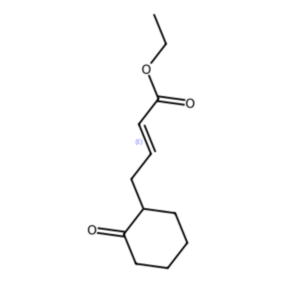 CCOC(=O)/C=C/CC1CCCCC1=O